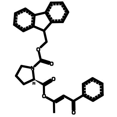 CC(=CC(=O)c1ccccc1)OC(=O)[C@@H]1CCCN1C(=O)OCC1c2ccccc2-c2ccccc21